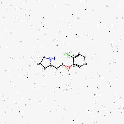 Clc1ccccc1OCCC1CCCN1